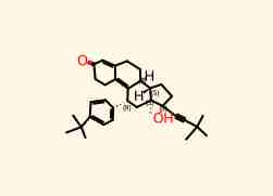 CC(C)(C)C#C[C@]1(O)CC[C@H]2[C@@H]3CCC4=CC(=O)CCC4=C3[C@@H](c3ccc(C(C)(C)C)cc3)C[C@@]21C